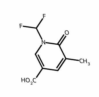 Cc1cc(C(=O)O)cn(C(F)F)c1=O